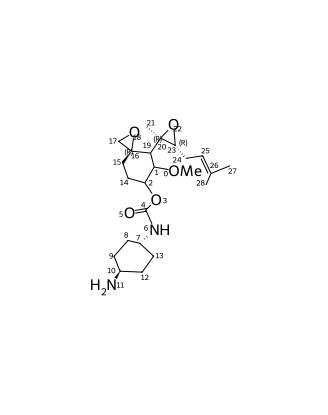 COC1C(OC(=O)N[C@H]2CC[C@H](N)CC2)CC[C@]2(CO2)C1[C@@]1(C)O[C@@H]1CC=C(C)C